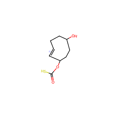 O=C(S)OC1/C=C/CCC(O)CC1